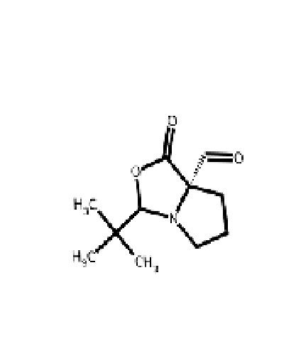 CC(C)(C)C1OC(=O)[C@@]2(C=O)CCCN12